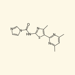 Cc1cc(C)nc(-c2sc(NC(=O)n3ccnc3)nc2C)n1